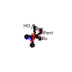 CCCCC[C@@H](C=C[C@@H]1C(SCCCCC(C)C(=O)O)=C(OC(=O)[C@H](Cc2ccccc2)NC(=O)OCc2ccccc2)C[C@H]1O[Si](C)(C)C(C)(C)C)O[Si](C)(C)C(C)(C)C